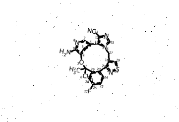 CC1(C)Oc2cc(cnc2N)-c2c(C#N)ncn2Cc2csnc2-c2ccc(F)cc21